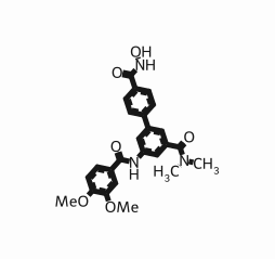 COc1ccc(C(=O)Nc2cc(C(=O)N(C)C)cc(-c3ccc(C(=O)NO)cc3)c2)cc1OC